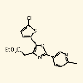 CCOC(=O)Cc1nc(-c2ccc(C)nc2)oc1-c1ccc(Cl)s1